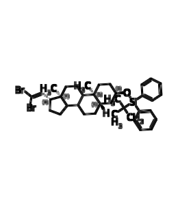 CC(C)(C)[Si](O[C@@H]1CC[C@]2(C)C3CC[C@@]4(C)C(CC[C@@H]4C=C(Br)Br)C3CC[C@H]2C1)(c1ccccc1)c1ccccc1